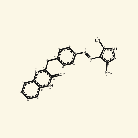 Nc1n[nH]c(N)c1N=Nc1ccc(Cc2nc3ccccc3[nH]c2=O)cc1